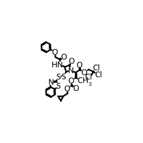 CC(OC(=O)OCC1CC1)=C(C(=O)OCC(Cl)(Cl)Cl)N1C(=O)C(NC(=O)COc2ccccc2)C1SSc1nc2ccccc2s1